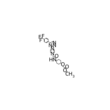 CCOC(=O)CO[C@H]1CC[C@H](NC(=O)CN2CCN(c3nncc(-c4ccc(C(F)(F)F)cc4)n3)CC2)CC1